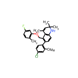 COc1cc(Cl)ccc1-c1ccc2c(c1COc1cc(F)ccc1C)C(C)=CC(C)(C)N2